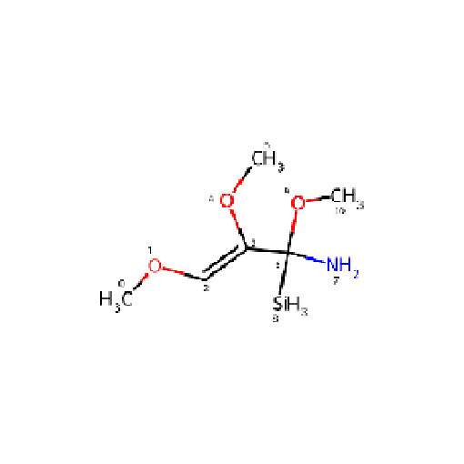 COC=C(OC)C(N)([SiH3])OC